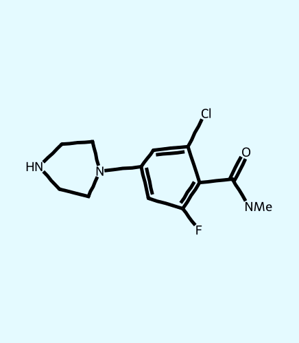 CNC(=O)c1c(F)cc(N2CCNCC2)cc1Cl